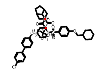 CC(C)(C)OC(=O)NC1C2CCC1CN(C(=O)[C@H]1C[C@@H](Oc3ccc(-c4ccc(Cl)cc4)cc3)CCN1S(=O)(=O)c1ccc(OCC3CCCCC3)cc1)C2